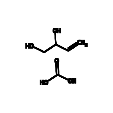 C=CC(O)CO.O=C(O)O